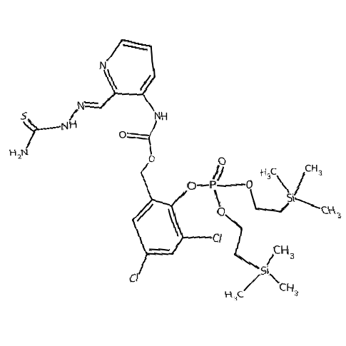 C[Si](C)(C)CCOP(=O)(OCC[Si](C)(C)C)Oc1c(Cl)cc(Cl)cc1COC(=O)Nc1cccnc1C=NNC(N)=S